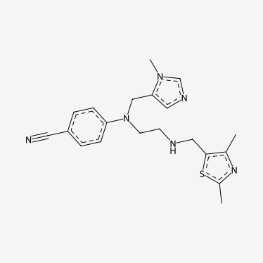 Cc1nc(C)c(CNCCN(Cc2cncn2C)c2ccc(C#N)cc2)s1